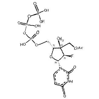 CC(=O)OC[C@@]1(C)[C@@H](COP(=O)(O)OP(=O)(O)OP(=O)(O)O)O[C@@H](n2ccc(=O)[nH]c2=O)[C@@H]1F